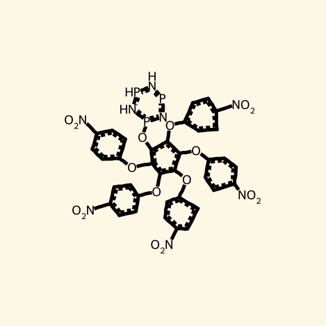 O=[N+]([O-])c1ccc(Oc2c(Oc3ccc([N+](=O)[O-])cc3)c(Oc3ccc([N+](=O)[O-])cc3)c(Op3np[nH][pH][nH]3)c(Oc3ccc([N+](=O)[O-])cc3)c2Oc2ccc([N+](=O)[O-])cc2)cc1